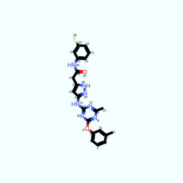 Cc1cccc(Oc2nc(C)nc(Nc3cc(CC(=O)Nc4cccc(F)c4)[nH]n3)n2)c1